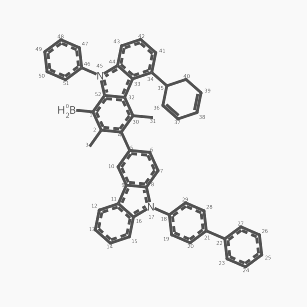 Bc1c(C)c(-c2ccc3c(c2)c2ccccc2n3-c2ccc(-c3ccccc3)cc2)c(C)c2c3c(C4C=CC=CC4)cccc3n(-c3ccccc3)c12